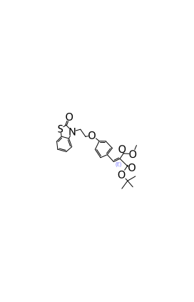 COC(=O)/C(=C\c1ccc(OCCn2c(=O)sc3ccccc32)cc1)C(=O)OC(C)(C)C